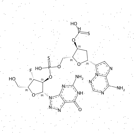 Nc1nc2c(nnn2[C@@H]2O[C@H](CO)[C@H](F)[C@H]2OP(O)(=S)OC[C@H]2O[C@@H](c3cnc4c(N)ncnn34)C[C@@H]2O[PH](O)=S)c(=O)[nH]1